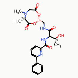 C[C@@H](O)C(NC(=O)c1cccc(-c2ccccc2)n1)C(=O)NCB1OC(=O)CN(C)[C@@H](C)C(=O)O1